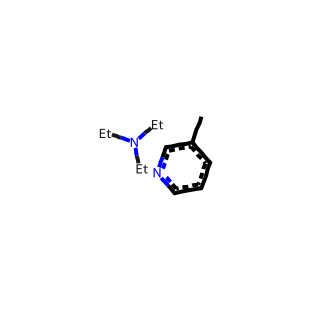 CCN(CC)CC.Cc1cccnc1